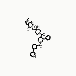 Cn1ccc2c(=O)n(CC3(O)CCN(C(=O)[C@@H]4CCN(C(=O)c5cccc(-c6cccnc6)c5)C[C@H]4c4ccccc4)CC3)cnc21